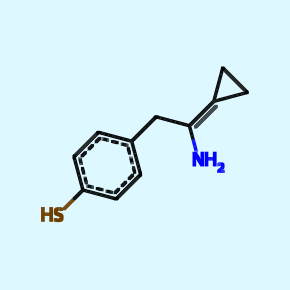 NC(Cc1ccc(S)cc1)=C1CC1